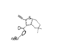 C#Cc1sc2c(c1C(=O)OCCCC)CC(C)(C)CC2